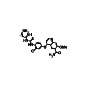 COc1cc2nccc(Oc3ccc(NC(=S)NC(=N)/C=C\N)c(Cl)c3)c2cc1C(N)=O